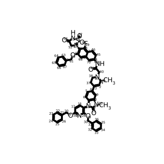 C[C@H]1C=C(c2ccc3c(c2)n(C)c(=O)n3-c2ccc(OCc3ccccc3)nc2OCc2ccccc2)CCN1CC(=O)Nc1ccc2c(F)c(N3CC(=O)NS3(=O)=O)c(OCc3ccccc3)cc2c1